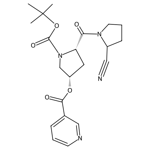 CC(C)(C)OC(=O)N1C[C@@H](OC(=O)c2cccnc2)C[C@H]1C(=O)N1CCCC1C#N